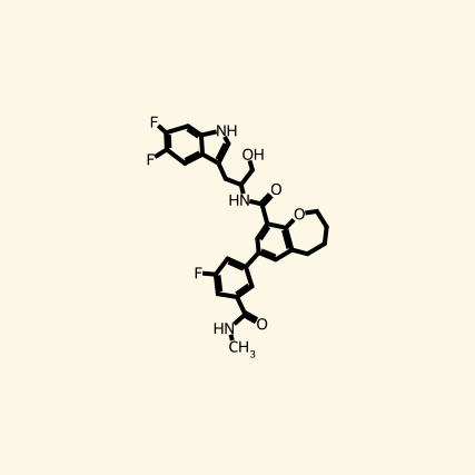 CNC(=O)c1cc(F)cc(-c2cc3c(c(C(=O)NC(CO)Cc4c[nH]c5cc(F)c(F)cc45)c2)OCCCC3)c1